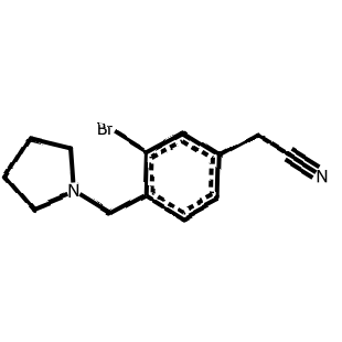 N#CCc1ccc(CN2CCCC2)c(Br)c1